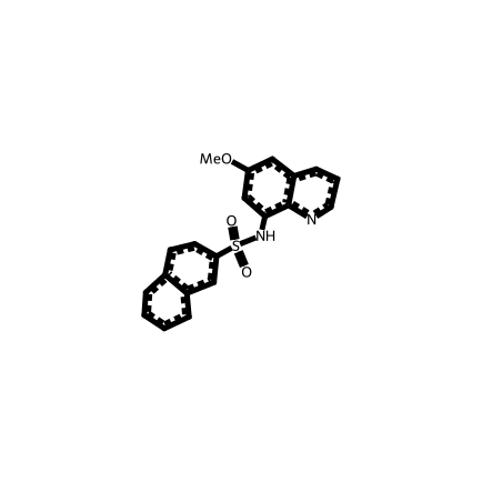 COc1cc(NS(=O)(=O)c2ccc3ccccc3c2)c2ncccc2c1